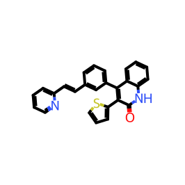 O=c1[nH]c2ccccc2c(-c2cccc(/C=C/c3ccccn3)c2)c1-c1cccs1